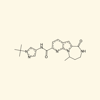 CC1CCNC(=O)c2cc3ccc(C(=O)Nc4cnn(C(C)(C)C)c4)nc3n21